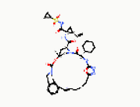 C=C[C@@H]1C[C@]1(NC(=O)[C@@H]1C[C@@H]2CN1C(=O)[C@H](C1CCCCC1)Nc1nnc(o1)CCC/C=C/c1cccc3c1CN(C3)C(=O)O2)C(=O)NS(=O)(=O)C1CC1